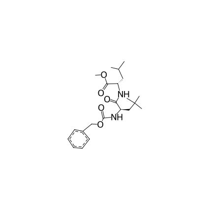 COC(=O)[C@H](CC(C)C)NC(=O)[C@@H](CC(C)(C)C)NC(=O)OCc1ccccc1